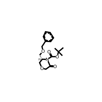 CC(C)(C)OC(=O)N1C(=O)COC[C@@H]1COCc1ccccc1